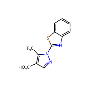 O=C(O)c1cnn(-c2nc3ccccc3s2)c1C(F)(F)F